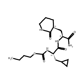 CCCCOC(=O)N[C@@H](CC1CC1)C(=O)N[C@@H](C[C@@H]1CCCNC1=O)C(N)=O